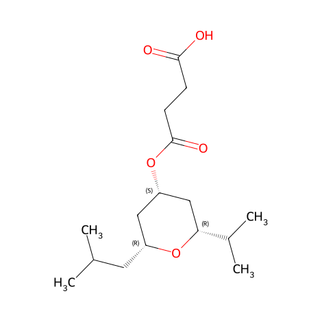 CC(C)C[C@@H]1C[C@H](OC(=O)CCC(=O)O)C[C@H](C(C)C)O1